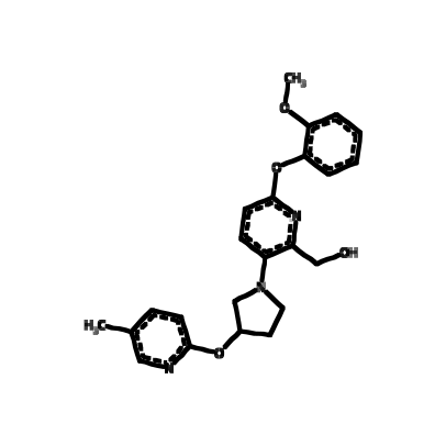 COc1ccccc1Oc1ccc(N2CCC(Oc3ccc(C)cn3)C2)c(CO)n1